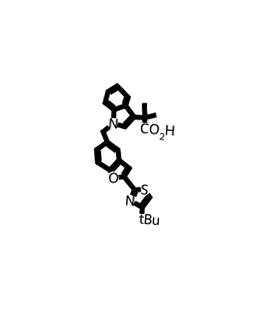 CC(C)(C)c1csc(-c2cc3cc(Cn4cc(C(C)(C)C(=O)O)c5ccccc54)ccc3o2)n1